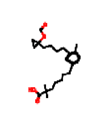 Cc1ccc(CCCCCC(C)(C)C(=O)O)cc1CCCCC1(OC=O)CC1